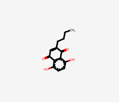 CCCCC1=CC(=O)c2c(O)ccc(O)c2C1=O